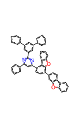 c1ccc(-c2cc(-c3ccccc3)cc(-c3nc(-c4ccccc4)cc(-c4ccc(-c5ccc6c(c5)oc5ccccc56)c5oc6ccccc6c45)n3)c2)cc1